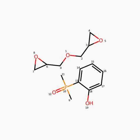 C(OCC1CO1)C1CO1.CP(C)(=O)c1ccccc1O